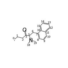 [CH2]CCC(=O)C(Cc1cccc2ccccc12)N(C)C